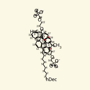 CCCCCCCCCCCCCCCCCCCCc1cccc([N+](CC(C)OCCOCS(=O)(=O)[O-])(c2ccccc2)c2ccccc2)c1[N+](CC(C)OCCOCS(=O)(=O)[O-])(c1ccccc1)c1ccccc1